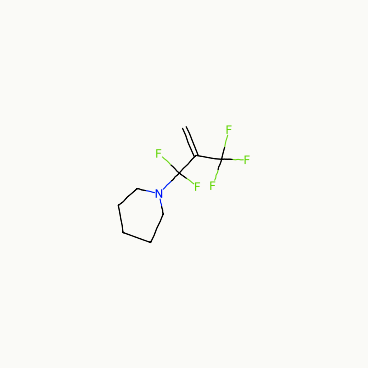 C=C(C(F)(F)F)C(F)(F)N1CCCCC1